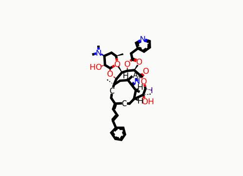 CC(=O)/N=C1\[C@H](C)C[C@@]2(C)CC/C(=C/C=C/c3ccccc3)CC[C@H]([C@H]1C)[C@](C)(O)[C@@H](I)OC(=O)[C@H](C)[C@@H](OC(=O)Cc1cccnc1)[C@H](C)[C@H]2O[C@@H]1O[C@H](C)C[C@H](N(C)C)[C@H]1O